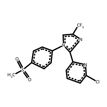 CS(=O)(=O)c1ccc(-n2cc(C(F)(F)F)nc2-c2cccc(Cl)n2)cc1